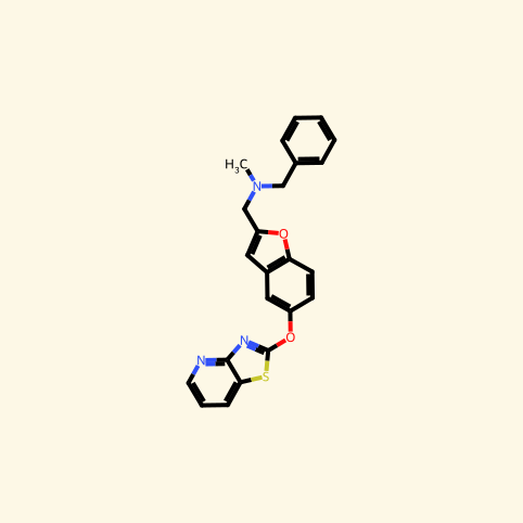 CN(Cc1ccccc1)Cc1cc2cc(Oc3nc4ncccc4s3)ccc2o1